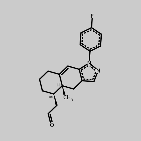 C[C@]12Cc3cnn(-c4ccc(F)cc4)c3C=C1CCC[C@@H]2CC=O